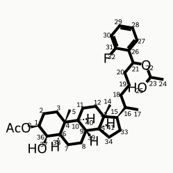 CC(=O)O[C@H]1CC[C@@]2(C)[C@@H](CC[C@@H]3[C@@H]2CC[C@]2(C)[C@@H](C(C)CCCC(OC(C)O)c4ccccc4F)CC[C@@H]32)[C@H]1O